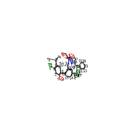 COc1cc(F)c(C(C)C)cc1-c1ccc(C(F)(F)F)cc1CN1C(=O)OCC1Cc1ccccc1